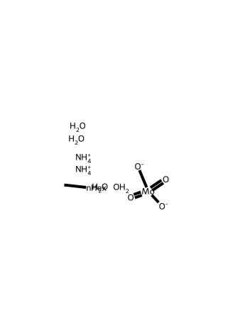 CCCCCCC.O.O.O.O.[NH4+].[NH4+].[O]=[Mo](=[O])([O-])[O-]